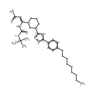 CCCCCCCCCc1ccc(-c2noc(C3CCCN(C(=CC(=O)O)NC(=O)OC(C)(C)C)C3)n2)cc1